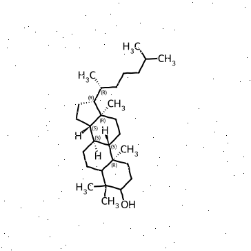 CC(C)CCC[C@@H](C)[C@H]1CC[C@H]2[C@@H]3CCC4C(C)(C)C(O)CC[C@]4(C)[C@H]3CC[C@]12C